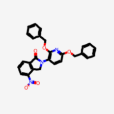 O=C1c2cccc([N+](=O)[O-])c2CN1c1ccc(OCc2ccccc2)nc1OCc1ccccc1